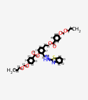 C=CCOCOc1ccc(C(=O)OCCc2ccc(OC(=O)c3ccc(OCOCC=C)cc3)c(/C=N/Nc3nc4ccccc4s3)c2)cc1